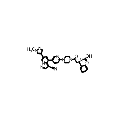 Cn1cc(-c2cc(-c3ccc(N4CCN(C(=O)C[C@H](NC(=O)O)c5ccccc5)CC4)nc3)c3c(C#N)cnn3c2)cn1